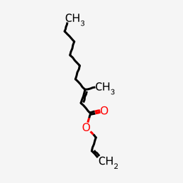 C=CCOC(=O)/C=C(\C)CCCCCC